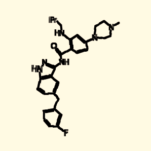 CC(C)CNc1cc(N2CCN(C)CC2)ccc1C(=O)Nc1n[nH]c2ccc(Cc3cccc(F)c3)cc12